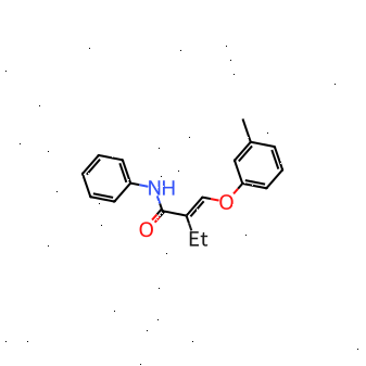 CC/C(=C\Oc1cccc(C)c1)C(=O)Nc1ccccc1